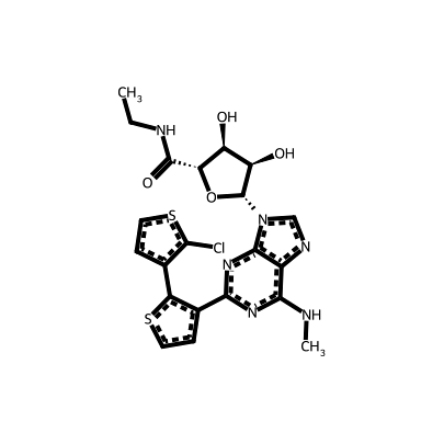 CCNC(=O)[C@H]1O[C@@H](n2cnc3c(NC)nc(-c4ccsc4-c4ccsc4Cl)nc32)[C@H](O)[C@@H]1O